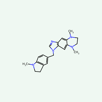 CN1CCc2cc(Cn3cnc4cc5c(cc43)N(C)CCN5C)ccc21